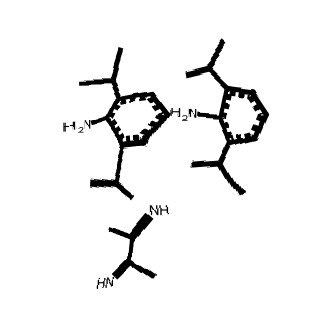 CC(=N)C(C)=N.CC(C)c1cccc(C(C)C)c1N.CC(C)c1cccc(C(C)C)c1N